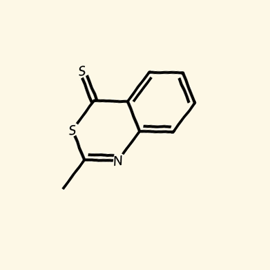 Cc1nc2ccccc2c(=S)s1